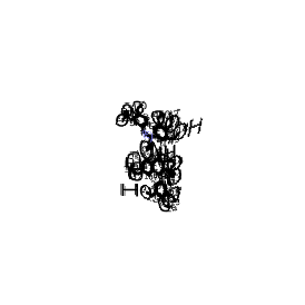 COc1ccc(/C=C(/C(=O)N[C@@H]2c3cc4c(cc3[C@@H](c3cc(CO)c(OC)c(OC)c3)[C@H]3C(=O)OC[C@@H]32)OCO4)c2cc(CO)c(OC)c(OC)c2)cc1[N+](=O)[O-]